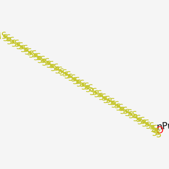 CCCOS(=S)(=S)SSSSSSSSSSSSSSSSSSSSSSSSSSSSSSSSSSSSSSSSSSSSSSSSSSSSSSSSSSSSSSSSSSSSSSS